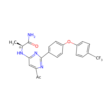 CC(=O)c1cc(N[C@@H](C)C(N)=O)nc(-c2ccc(Oc3ccc(C(F)(F)F)cc3)cc2)n1